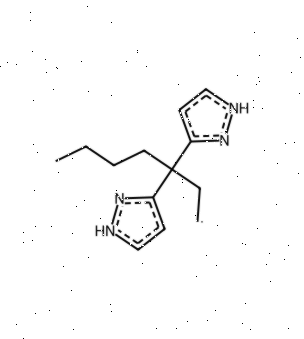 [CH2]CC(CCCC)(c1cc[nH]n1)c1cc[nH]n1